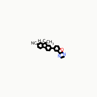 CC1(C)c2cc(C#N)ccc2-c2ccc(-c3ccc4oc5nccnc5c4c3)cc21